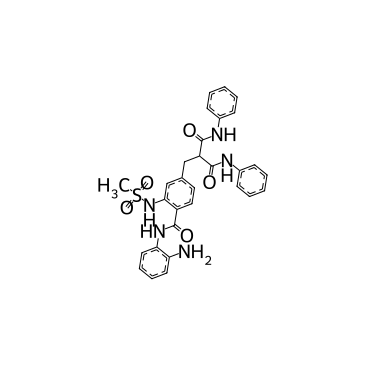 CS(=O)(=O)Nc1cc(CC(C(=O)Nc2ccccc2)C(=O)Nc2ccccc2)ccc1C(=O)Nc1ccccc1N